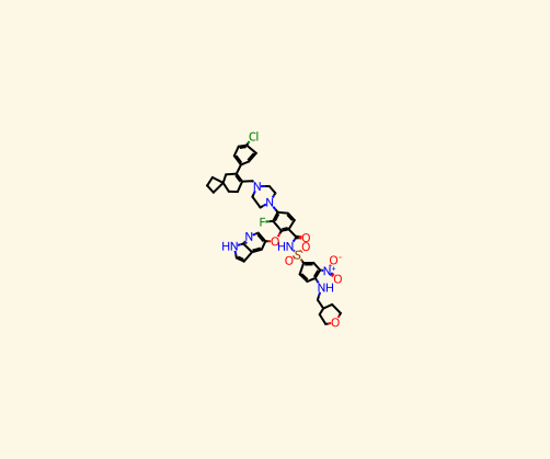 O=C(NS(=O)(=O)c1ccc(NCC2CCOCC2)c([N+](=O)[O-])c1)c1ccc(N2CCN(CC3=C(c4ccc(Cl)cc4)CC4(CCC4)CC3)CC2)c(F)c1Oc1cnc2[nH]ccc2c1